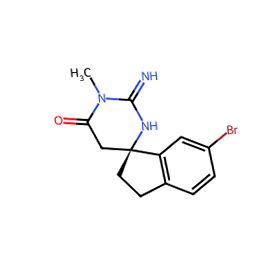 CN1C(=N)N[C@@]2(CCc3ccc(Br)cc32)CC1=O